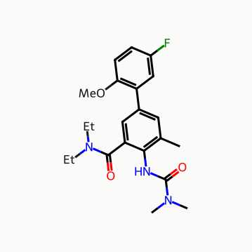 CCN(CC)C(=O)c1cc(-c2cc(F)ccc2OC)cc(C)c1NC(=O)N(C)C